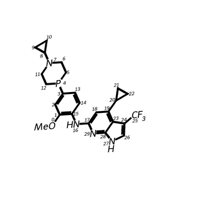 COc1cc(P2CCN(C3CC3)CC2)ccc1Nc1cc(C2CC2)c2c(C(F)(F)F)c[nH]c2n1